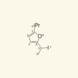 CC(C)c1ccc(C(C)I)o1